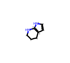 [C]1CCNc2[nH]ccc21